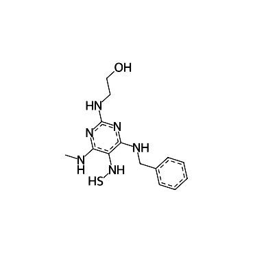 CNc1nc(NCCO)nc(NCc2ccccc2)c1NS